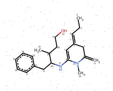 C=C1C/C(=C\CC)C=C(NC(Cc2ccccc2)C(C)CCO)N1C